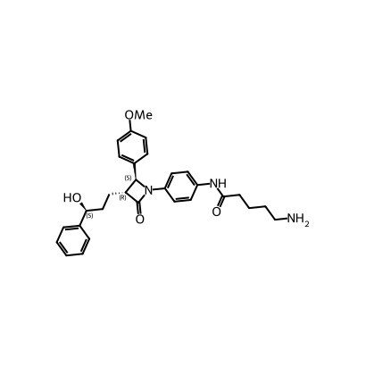 COc1ccc([C@@H]2[C@@H](CC[C@H](O)c3ccccc3)C(=O)N2c2ccc(NC(=O)CCCCN)cc2)cc1